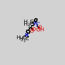 CCN(CC)c1ccc2cc(/C=C/C3=[N+](CCC(=O)O)c4ccccc4C3(C)C)c(=O)oc2c1